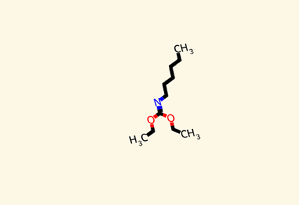 CCCCCCN=C(OCC)OCC